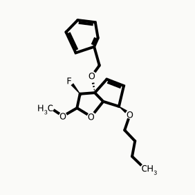 CCCCO[C@@H]1C=C[C@@]2(OCc3ccccc3)C1OC(OC)[C@H]2F